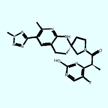 Cc1nc2c(cc1-c1nnn(C)n1)CC[C@@]1(CCN(C(=O)[C@@H](C)c3nc(O)ncc3F)C1)N2